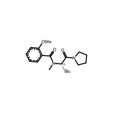 CCC(C)[C@@H](C(=O)N1CCCC1)N(C)C(=O)c1ccccc1OC